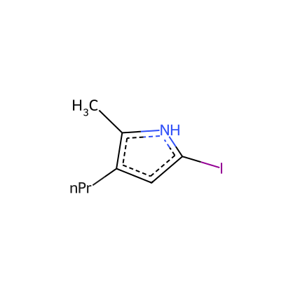 CCCc1cc(I)[nH]c1C